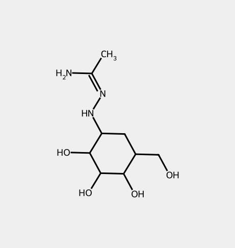 C/C(N)=N/NC1CC(CO)C(O)C(O)C1O